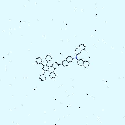 c1ccc(-c2cc(-c3ccccc3)c3c4ccccc4c4cc(-c5ccc6cc(N(c7ccc8ccccc8c7)c7ccc8ccccc8c7)ccc6c5)ccc4c3c2-c2ccccc2)cc1